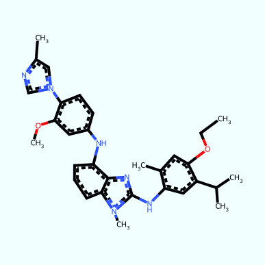 CCOc1cc(C)c(Nc2nc3c(Nc4ccc(-n5cnc(C)c5)c(OC)c4)cccc3n2C)cc1C(C)C